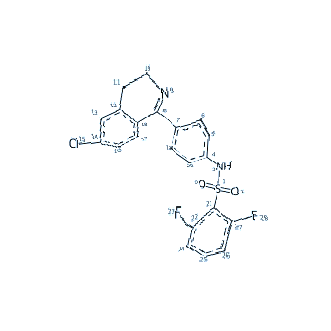 O=S(=O)(Nc1ccc(C2=NCCc3cc(Cl)ccc32)cc1)c1c(F)cccc1F